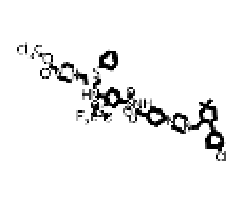 CC1(C)CCC(c2ccc(Cl)cc2)=C(CN2CCN(c3ccc(C(=O)NS(=O)(=O)c4ccc(N[C@H](CCN5CCN(C(=O)OCC(Cl)(Cl)Cl)CC5)CSc5ccccc5)c(S(=O)(=O)C(F)(F)F)c4)cc3)CC2)C1